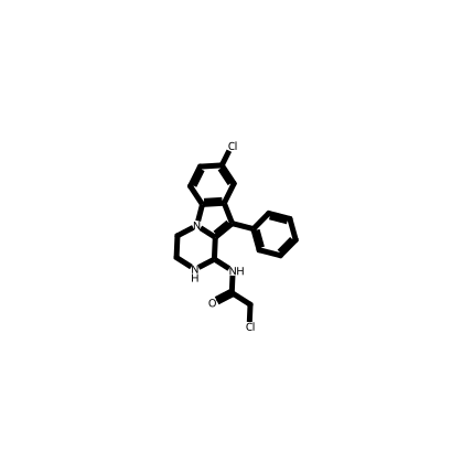 O=C(CCl)NC1NCCn2c1c(-c1ccccc1)c1cc(Cl)ccc12